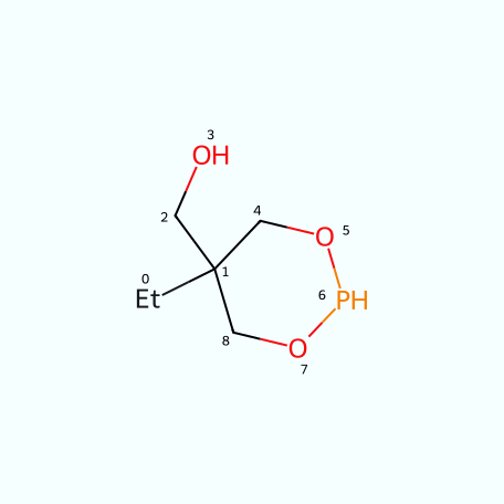 CCC1(CO)COPOC1